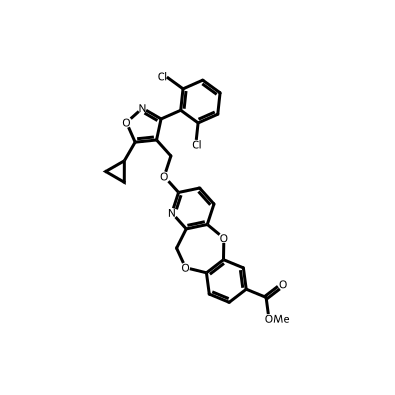 COC(=O)c1ccc2c(c1)Oc1ccc(OCc3c(-c4c(Cl)cccc4Cl)noc3C3CC3)nc1CO2